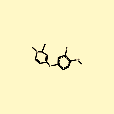 CNc1ccc(OC2=CC(C)N(C)C=C2)cc1F